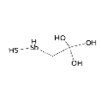 OC(O)(O)[CH2][SbH][SH]